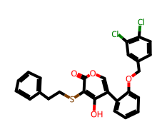 O=c1occ(-c2ccccc2OCc2ccc(Cl)c(Cl)c2)c(O)c1SCCc1ccccc1